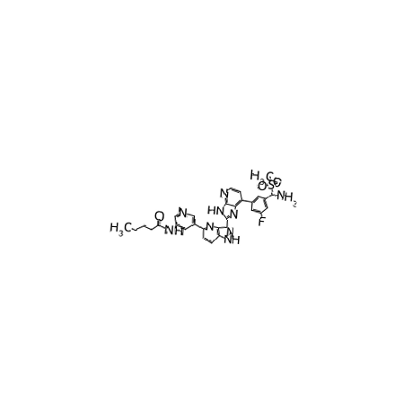 CCCCC(=O)Nc1cncc(-c2ccc3[nH]nc(-c4nc5c(-c6cc(F)cc(C(N)S(C)(=O)=O)c6)ccnc5[nH]4)c3n2)c1